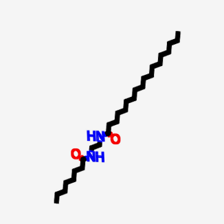 CCCCCCCCCCCCCCCCCC(=O)NCCNC(=O)CCCCCCC